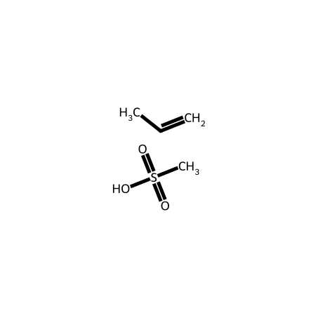 C=CC.CS(=O)(=O)O